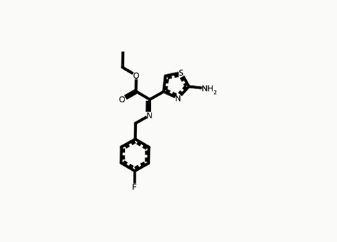 CCOC(=O)/C(=N\Cc1ccc(F)cc1)c1csc(N)n1